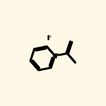 C=C(C)[n+]1ccccc1.[I-]